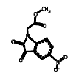 COC(=O)CN1C(=O)C(=O)c2cc([N+](=O)[O-])ccc21